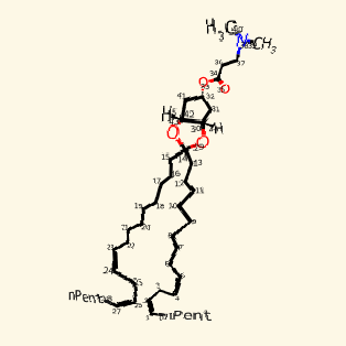 CCCCC/C=C\C/C=C\CCCCCCCCC1(CCCCCCCC/C=C\C/C=C\CCCCC)O[C@H]2C[C@@H](OC(=O)CCN(C)C)C[C@H]2O1